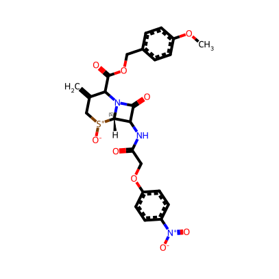 C=C1C[S+]([O-])[C@H]2C(NC(=O)COc3ccc([N+](=O)[O-])cc3)C(=O)N2C1C(=O)OCc1ccc(OC)cc1